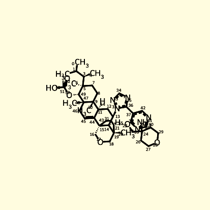 CC(C)[C@@H](C)[C@@]1(C)CC[C@]2(C)[C@H]3CC[C@@H]4[C@@]5(COC[C@@]4(C)[C@@H](OCC4(N)CCOCC4)[C@H](n4ncnc4-c4cncnc4)C5)C3=CC[C@]2(C)[C@@H]1OC(=O)O